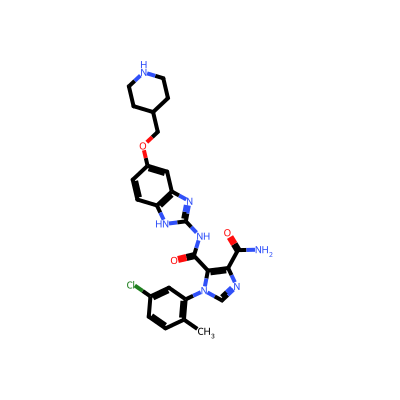 Cc1ccc(Cl)cc1-n1cnc(C(N)=O)c1C(=O)Nc1nc2cc(OCC3CCNCC3)ccc2[nH]1